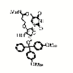 CNC(=O)CCO[C@@H]1[C@@H](O)[C@@H](COC(c2ccccc2)(c2ccc(OC)cc2)c2ccc(OC)cc2)O[C@H]1n1cc(C)c(=O)[nH]c1=O